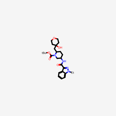 CCn1nc(C(=O)NC2CCC(CC3(O)CCOCC3)N(C(=O)OC(C)(C)C)C2)c2ccccc21